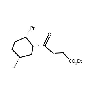 CCOC(=O)CNC(=O)[C@@H]1C[C@H](C)CC[C@@H]1C(C)C